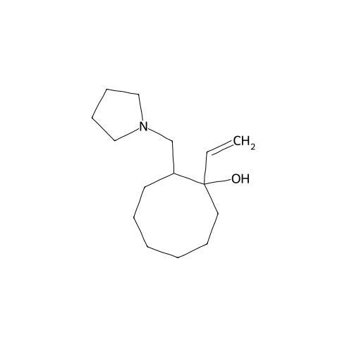 C=CC1(O)CCCCCCC1CN1CCCC1